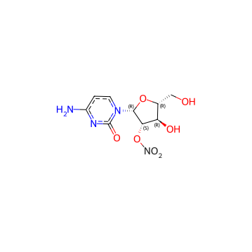 Nc1ccn([C@@H]2O[C@H](CO)[C@@H](O)[C@@H]2O[N+](=O)[O-])c(=O)n1